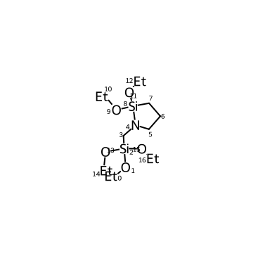 CCO[Si](CN1CCC[Si]1(OCC)OCC)(OCC)OCC